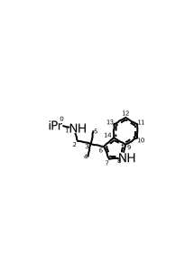 CC(C)NCC(C)(C)c1c[nH]c2ccccc12